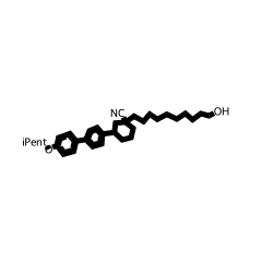 CCCC(C)Oc1ccc(-c2ccc(C3CCCC(C#N)(CCCCCCCCCCO)C3)cc2)cc1